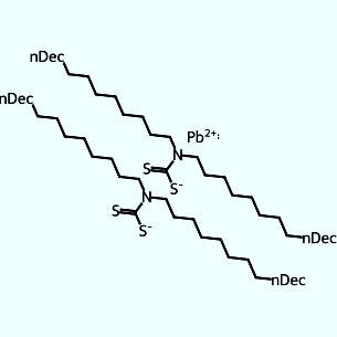 CCCCCCCCCCCCCCCCCCN(CCCCCCCCCCCCCCCCCC)C(=S)[S-].CCCCCCCCCCCCCCCCCCN(CCCCCCCCCCCCCCCCCC)C(=S)[S-].[Pb+2]